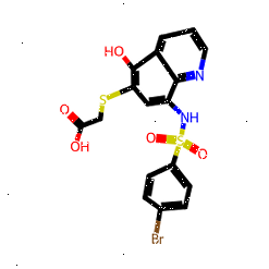 O=C(O)CSc1cc(NS(=O)(=O)c2ccc(Br)cc2)c2ncccc2c1O